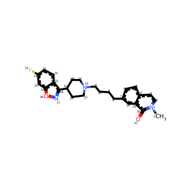 Cn1ccc2ccc(CCCCN3CCC(c4noc5cc(F)ccc45)CC3)cc2c1=O